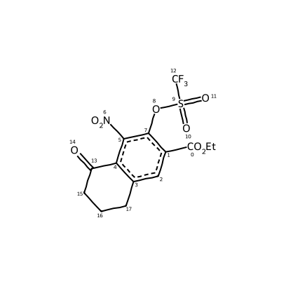 CCOC(=O)c1cc2c(c([N+](=O)[O-])c1OS(=O)(=O)C(F)(F)F)C(=O)CCC2